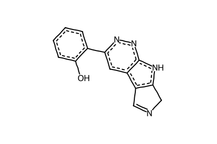 Oc1ccccc1-c1cc2c3c([nH]c2nn1)CN=C3